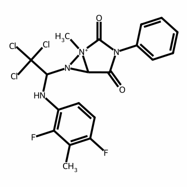 Cc1c(F)ccc(NC(N2C3C(=O)N(c4ccccc4)C(=O)[N+]32C)C(Cl)(Cl)Cl)c1F